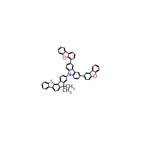 CC1(C)c2cc(-n3c4ccc(-c5ccc6oc7ccccc7c6c5)cc4c4cc(-c5cccc6c5oc5ccccc56)ccc43)ccc2-c2c1ccc1c2sc2ccccc21